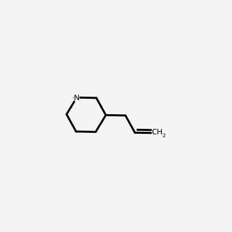 C=CCC1CCC[N]C1